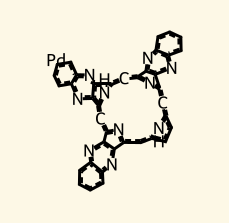 [Pd].c1ccc2nc3c(nc2c1)-c1cc2ccc(cc4nc(cc5[nH]c(cc-3n1)c1nc3ccccc3nc51)-c1nc3ccccc3nc1-4)[nH]2